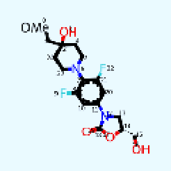 COCC1(O)CCN(c2c(F)cc(N3C[C@H](CO)OC3=O)cc2F)CC1